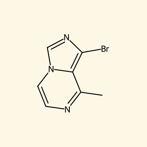 Cc1nccn2cnc(Br)c12